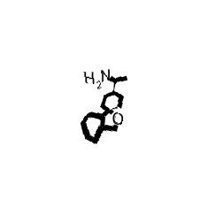 CC(N)[C@H]1CC[C@]2(CC1)OCc1ccccc12